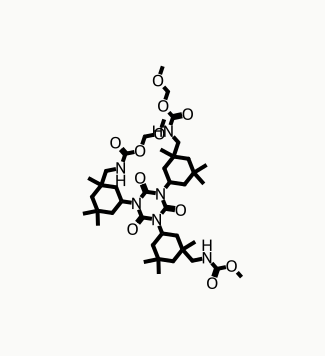 COCOC(=O)NCC1(C)CC(n2c(=O)n(C3CC(C)(C)CC(C)(CNC(=O)OC)C3)c(=O)n(C3CC(C)(C)CC(C)(CNC(=O)OCOC)C3)c2=O)CC(C)(C)C1